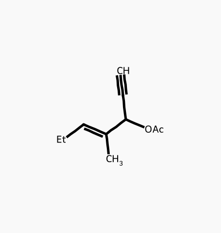 C#CC(OC(C)=O)/C(C)=C/CC